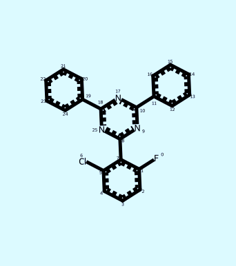 Fc1cccc(Cl)c1-c1nc(-c2ccccc2)nc(-c2ccccc2)n1